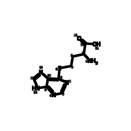 NC(CCSc1ncnc2[nH]cnc12)C(=O)O